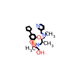 CC(CO)N1C[C@@H](C)[C@H](CN(C)Cc2cccnc2)Oc2cc(C3=CCCC3)ccc2S1(=O)=O